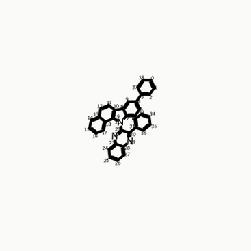 c1ccc(-c2ccc3c(c2)c2ccc4ccccc4c2n3-c2nc3ccccc3nc2-c2ccccc2)cc1